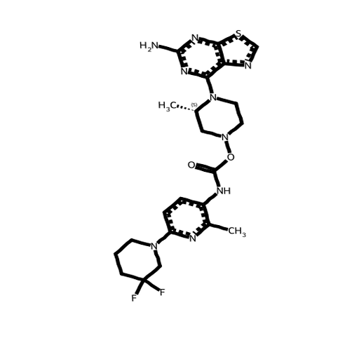 Cc1nc(N2CCCC(F)(F)C2)ccc1NC(=O)ON1CCN(c2nc(N)nc3scnc23)[C@@H](C)C1